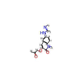 C/N=C(\C)Nc1ccc2c(c1)cc(OCC(C)=O)c(=O)n2C